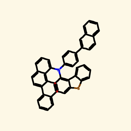 c1ccc2cc(-c3ccc(N(c4cccc5ccc6c7ccccc7ccc6c45)c4cccc5sc6ccccc6c45)cc3)ccc2c1